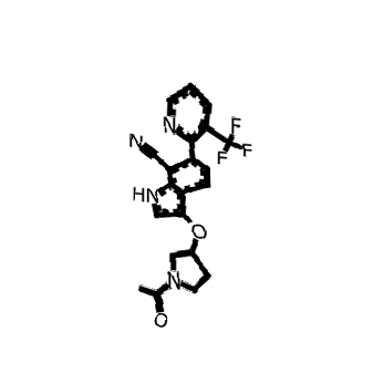 CC(=O)N1CCC(Oc2c[nH]c3c(C#N)c(-c4ncccc4C(F)(F)F)ccc23)C1